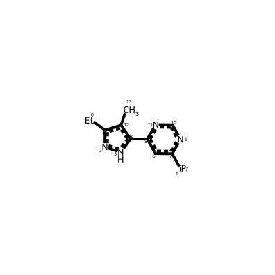 CCc1n[nH]c(-c2cc(C(C)C)ncn2)c1C